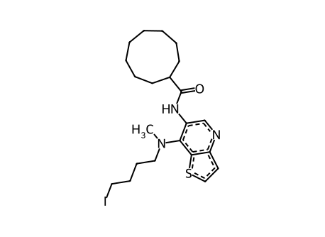 CN(CCCCI)c1c(NC(=O)C2CCCCCCCC2)cnc2ccsc12